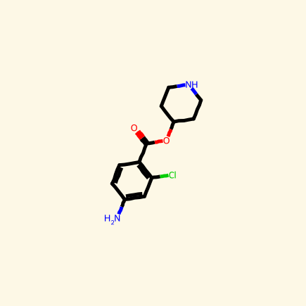 Nc1ccc(C(=O)OC2CCNCC2)c(Cl)c1